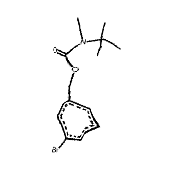 CN(C(=O)OCc1cccc(Br)c1)C(C)(C)C